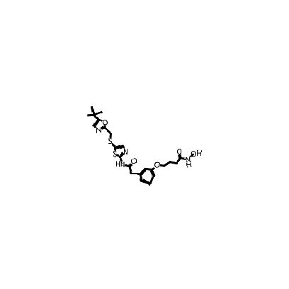 CC(C)(C)c1cnc(CSc2cnc(NC(=O)Cc3cccc(OCCCC(=O)NO)c3)s2)o1